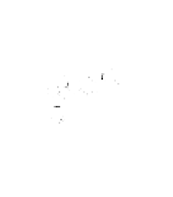 C[C@H]1CNC[C@@]1(CC(=O)OC(C)(C)C)C(=O)NC1CCN(C(=O)OC(C)(C)C)CC1